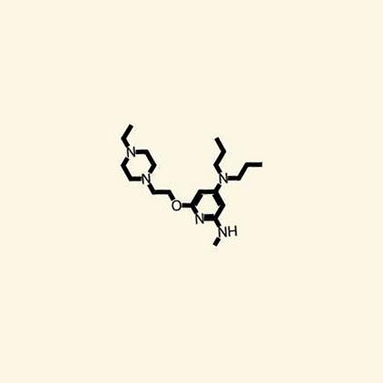 CCCN(CCC)c1cc(NC)nc(OCCN2CCN(CC)CC2)c1